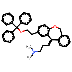 CN(C)CCC=C1c2ccccc2COc2ccc(CCOC(c3ccccc3)(c3ccccc3)c3ccccc3)cc21